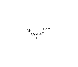 [Co+2].[Li+].[Mn+2].[Ni+2].[S-2]